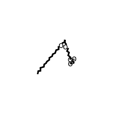 C=C(COCCCCCCCCCCCCCCCC)COCCCCCOS(C)(=O)=O